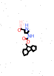 BC(=O)c1cc(NC(=O)OCC2c3ccccc3-c3ccccc32)c[nH]1